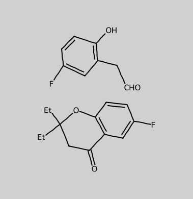 CCC1(CC)CC(=O)c2cc(F)ccc2O1.O=CCc1cc(F)ccc1O